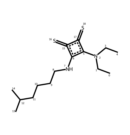 CCN(CC)c1c(NCCCCC(C)C)c(=S)c1=S